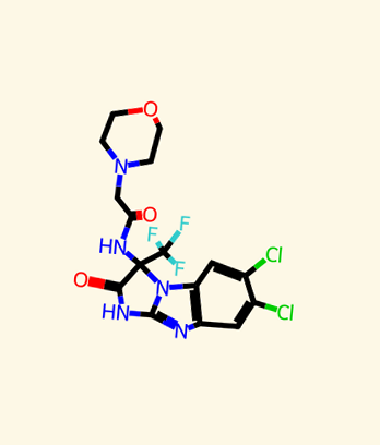 O=C(CN1CCOCC1)NC1(C(F)(F)F)C(=O)Nc2nc3cc(Cl)c(Cl)cc3n21